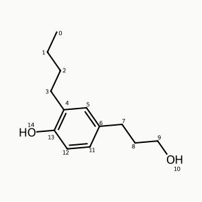 CCCCc1cc(CCCO)ccc1O